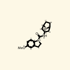 COc1ccc2c(c1)CCN2C(=O)NC1CC2CCC(C1)N2C